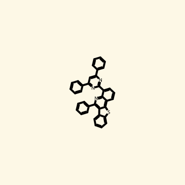 c1ccc(-c2cc(-c3ccccc3)nc(-c3cccc4c3nc(-c3ccccc3)c3c5ccccc5sc43)n2)cc1